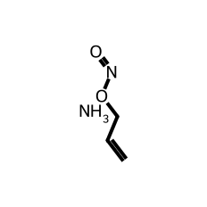 C=CCON=O.N